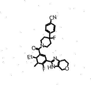 CCC1C(C(=O)N2CCC(F)(c3ccc(C#N)cc3)CC2)=CC(c2nc3c([nH]2)COCC3)=C(F)C1C